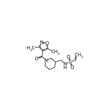 C=CS(=O)(=O)NCC1CCCN(C(=O)c2c(C)noc2C)C1